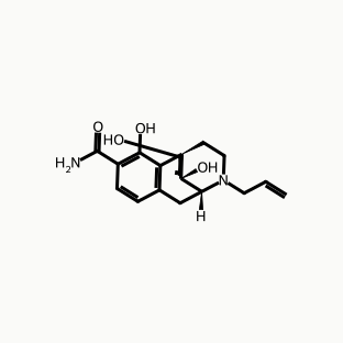 C=CCN1CC[C@]23CC(O)C=C[C@@]2(O)[C@H]1Cc1ccc(C(N)=O)c(O)c13